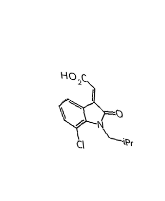 CC(C)CN1C(=O)/C(=C/C(=O)O)c2cccc(Cl)c21